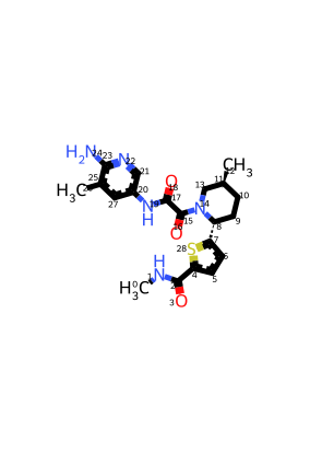 CNC(=O)c1ccc([C@H]2CC[C@H](C)CN2C(=O)C(=O)Nc2cnc(N)c(C)c2)s1